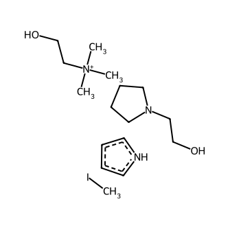 CI.C[N+](C)(C)CCO.OCCN1CCCC1.c1cc[nH]c1